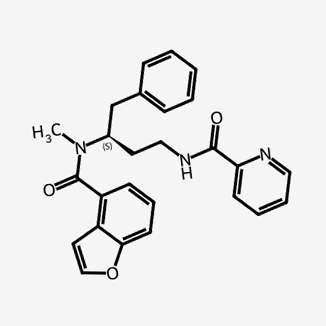 CN(C(=O)c1cccc2occc12)[C@H](CCNC(=O)c1ccccn1)Cc1ccccc1